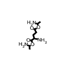 CC(N)OC(=O)CCC(N)C(=O)OC(C)N